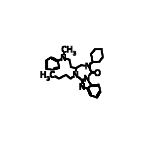 CCCCN1c2nc3ccccc3n2C(=O)N(C2CCCCC2)CC1CCN(C)c1ccccc1